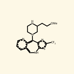 COCCC1CN(C2=c3ncccc3=CNc3sc(C(F)(F)F)nc32)CCN1